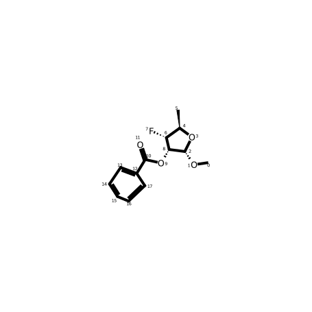 CO[C@H]1O[C@H](C)[C@@H](F)[C@H]1OC(=O)c1ccccc1